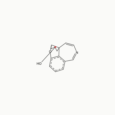 OC1=CC2Oc3cccc4c3C2(C=CN=C4)C=C1